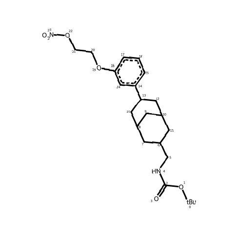 CC(C)(C)OC(=O)NCC1CC2CC(C1)CC(c1cccc(OCCO[N+](=O)[O-])c1)C2